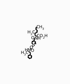 C=C(/C=C\C=C/C)C[C@H](NC(=O)c1cc[n+](COC(=O)N[C@@H](C)Cc2ccccc2)cc1)C(=O)O